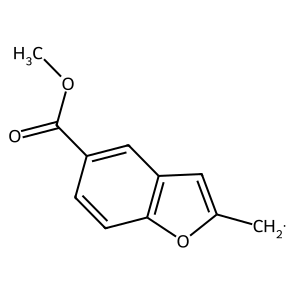 [CH2]c1cc2cc(C(=O)OC)ccc2o1